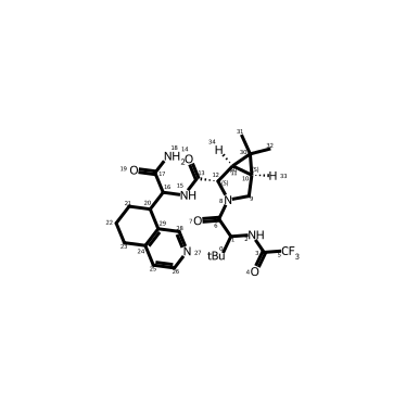 CC(C)(C)C(NC(=O)C(F)(F)F)C(=O)N1C[C@H]2[C@@H]([C@H]1C(=O)NC(C(N)=O)C1CCCc3ccncc31)C2(C)C